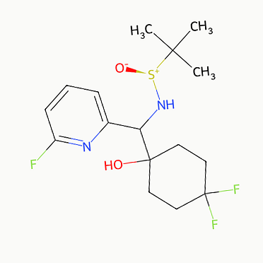 CC(C)(C)[S@+]([O-])NC(c1cccc(F)n1)C1(O)CCC(F)(F)CC1